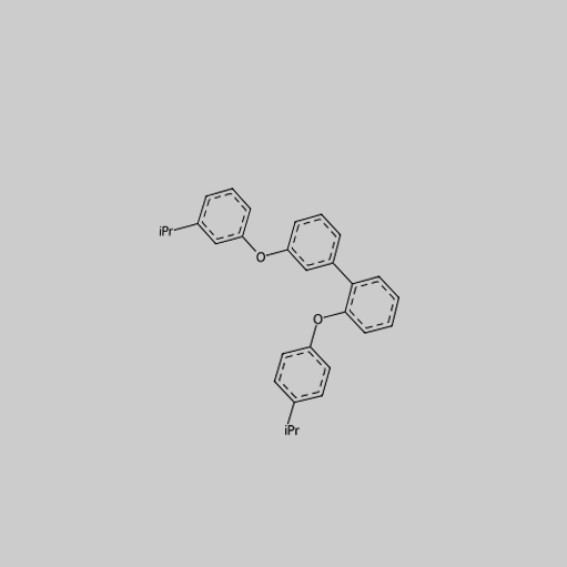 CC(C)c1ccc(Oc2ccccc2-c2cccc(Oc3cccc(C(C)C)c3)c2)cc1